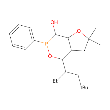 CCC(CC(C)(C)C)C1OP(c2ccccc2)C(O)C2OC(C)(C)CC12